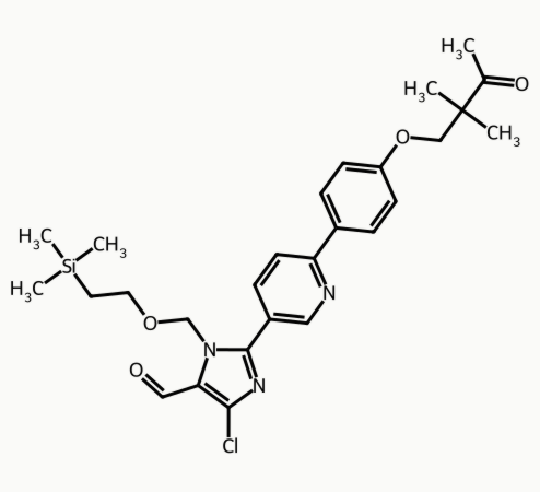 CC(=O)C(C)(C)COc1ccc(-c2ccc(-c3nc(Cl)c(C=O)n3COCC[Si](C)(C)C)cn2)cc1